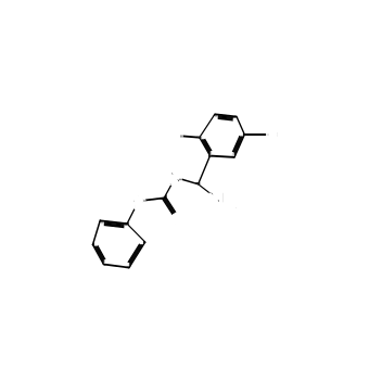 NC(NC(=O)Oc1ccccc1)c1cc(O)ccc1O